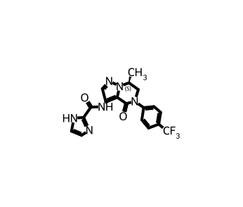 C[C@H]1CN(c2ccc(C(F)(F)F)cc2)C(=O)c2c(NC(=O)c3ncc[nH]3)cnn21